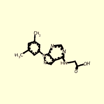 Cc1cc(C)cc(-n2ncc3c(NCC(=O)O)ncnc32)c1